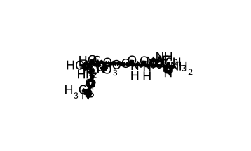 Cc1ncsc1-c1ccc(CNC(=O)[C@@H]2C[C@@H](O)CN2C(=O)CC(C)(C)CC(OCCOCCOCC(=O)NCCC(=O)Nc2cc3cc(-c4cncc(N)c4C)c(F)c(N)c3cn2)C(N)=O)cc1